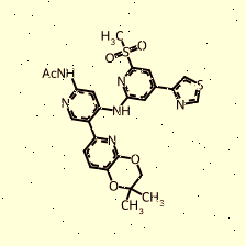 CC(=O)Nc1cc(Nc2cc(-c3cscn3)cc(S(C)(=O)=O)n2)c(-c2ccc3c(n2)OCC(C)(C)O3)cn1